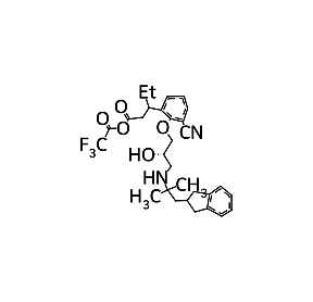 CCC(CC(=O)OC(=O)C(F)(F)F)c1cccc(C#N)c1OC[C@@H](O)CNC(C)(C)CC1Cc2ccccc2C1